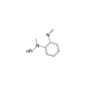 C=Nc1ccccc1N(C)CCC